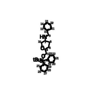 CC(C)(C)[Si](OCC1CCC(NCc2ccccc2)CO1)(c1ccccc1)c1ccccc1